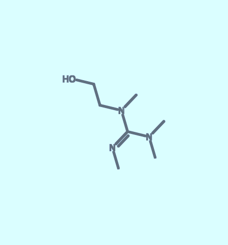 C/N=C(\N(C)C)N(C)CCO